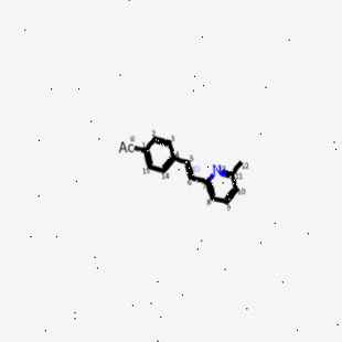 CC(=O)c1ccc(/C=C/c2cccc(C)n2)cc1